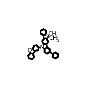 C[Si]1(C)c2ccccc2-c2cc3c(cc21)c1cc(-c2ccccc2)ccc1n3-c1ccc2oc3ccccc3c2c1